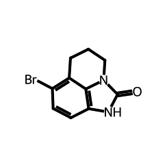 O=c1[nH]c2ccc(Br)c3c2n1CCC3